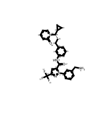 NCc1cccc(-n2nc(C(F)(F)F)cc2C(=O)Nc2cccc(CC[C@@H](C3CC3)n3ccccc3=O)c2)c1